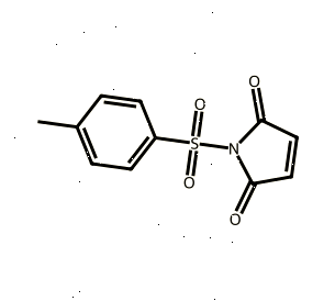 Cc1ccc(S(=O)(=O)N2C(=O)C=CC2=O)cc1